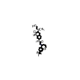 CN(CCO)C1Cc2ccc(NC(=O)/C=C3\CCCOc4cc(C(F)(F)F)ccc43)cc2NC1=O